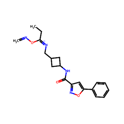 C=NO/C(CC)=N\CC1CC(NC(=O)c2cc(-c3ccccc3)on2)C1